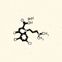 Br.CN(C)CCCn1c(C(=O)O)cc(=O)c2c(Cl)cc(Cl)cc21